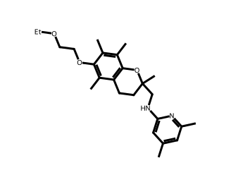 CCOCCOc1c(C)c(C)c2c(c1C)CCC(C)(CNc1cc(C)cc(C)n1)O2